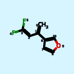 C=C(C=C(F)F)c1c[c]oc1